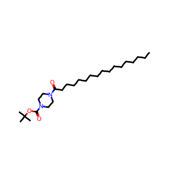 CCCCCCCCCCCCCCCCC(=O)N1CCN(C(=O)OC(C)(C)C)CC1